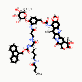 CCCCc1c2c(nc3cc4c(c(NC(=O)OCc5ccc(O[C@@H]6O[C@H](C(=O)O)[C@@H](O)[C@H](O)[C@H]6O)c(NC(=O)CCNC(=O)[C@H](CCCCNC(=O)CCOC)NC(=O)OCC6c7ccccc7-c7ccccc76)c5)c13)OCO4)-c1cc3c(c(=O)n1C2)COC(=O)[C@]3(O)CC